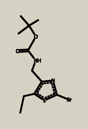 CCc1sc(Br)nc1CNC(=O)OC(C)(C)C